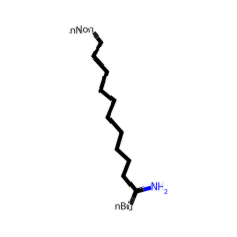 CCCCCCCCCCCCCCCCCCCC(N)CCCC